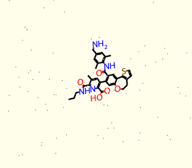 CCCNC(=O)c1nc(C(=O)O)c(-c2cc3c(cc2C(=O)Nc2c(C)cc(CN)cc2C)-c2sccc2CCO3)cc1C